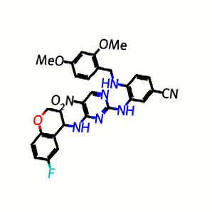 COc1ccc(CNc2ccc(C#N)cc2Nc2ncc([N+](=O)[O-])c(NC3CCOc4ccc(F)cc43)n2)c(OC)c1